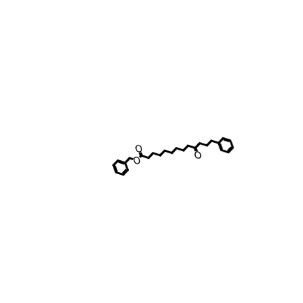 O=C(CCCCCCCCC(=O)OCc1ccccc1)CCCc1ccccc1